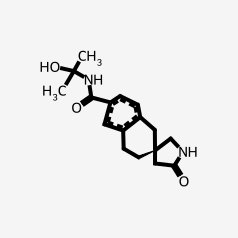 CC(C)(O)NC(=O)c1ccc2c(c1)CC[C@]1(CNC(=O)C1)C2